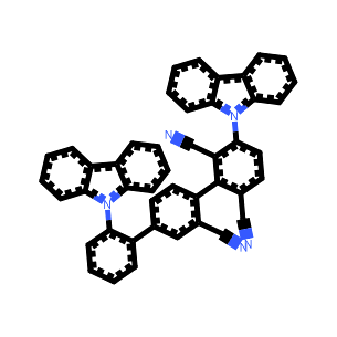 N#Cc1cc(-c2ccccc2-n2c3ccccc3c3ccccc32)ccc1-c1c(C#N)ccc(-n2c3ccccc3c3ccccc32)c1C#N